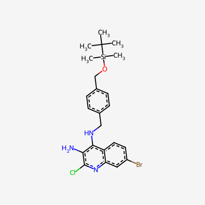 CC(C)(C)[Si](C)(C)OCc1ccc(CNc2c(N)c(Cl)nc3cc(Br)ccc23)cc1